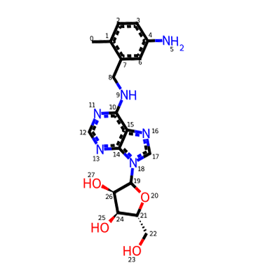 Cc1ccc(N)cc1CNc1ncnc2c1ncn2C1O[C@H](CO)[C@@H](O)[C@H]1O